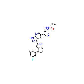 CCCCC(=O)Nc1cncc(-c2cnc3[nH]nc(-c4cc5c(-c6cc(C)cc(F)c6)cccc5[nH]4)c3c2)c1